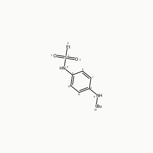 CCS(=O)(=O)Nc1ccc(NC(C)(C)C)cc1